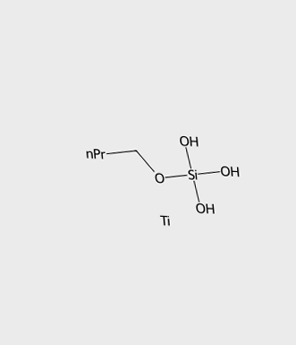 CCCCO[Si](O)(O)O.[Ti]